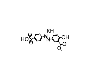 COC(=O)c1cc(N=Nc2ccc(S(=O)(=O)O)cc2)ccc1O.[KH]